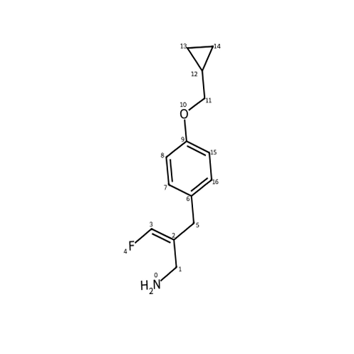 NCC(=CF)Cc1ccc(OCC2CC2)cc1